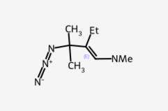 CC/C(=C\NC)C(C)(C)N=[N+]=[N-]